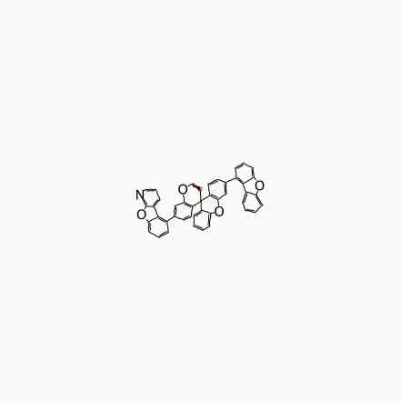 c1ccc2c(c1)Oc1cc(-c3cccc4oc5ccccc5c34)ccc1C21c2ccccc2Oc2cc(-c3cccc4oc5ncccc5c34)ccc21